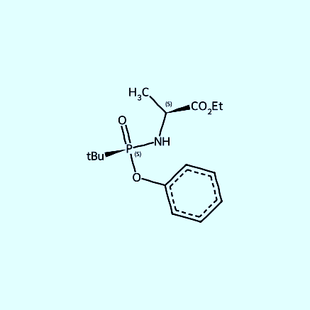 CCOC(=O)[C@H](C)N[P@@](=O)(Oc1ccccc1)C(C)(C)C